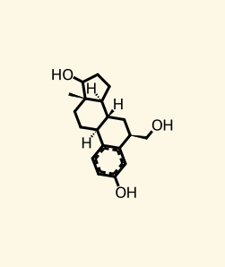 C[C@]12CC[C@@H]3c4ccc(O)cc4[C@H](CO)C[C@H]3[C@@H]1CCC2O